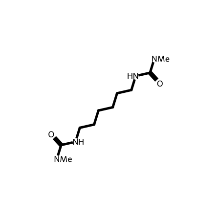 CNC(=O)NCCCCCCNC(=O)NC